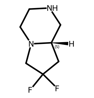 FC1(F)C[C@H]2CNCCN2C1